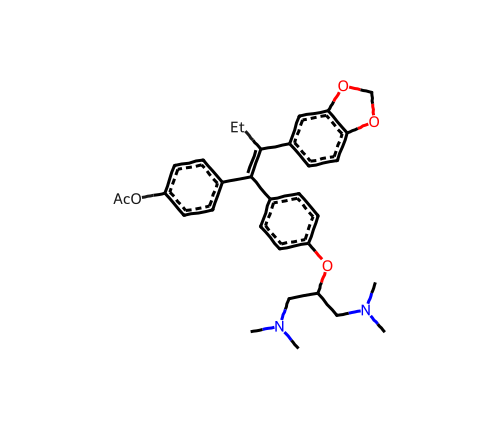 CCC(=C(c1ccc(OC(C)=O)cc1)c1ccc(OC(CN(C)C)CN(C)C)cc1)c1ccc2c(c1)OCO2